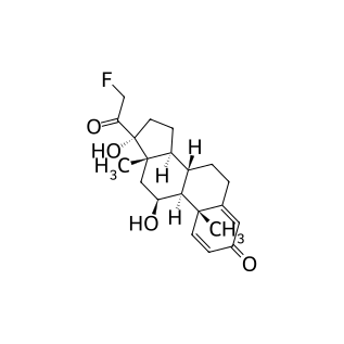 C[C@]12C=CC(=O)C=C1CC[C@@H]1[C@@H]2[C@@H](O)C[C@@]2(C)[C@H]1CC[C@]2(O)C(=O)CF